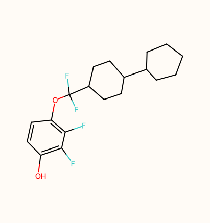 Oc1ccc(OC(F)(F)C2CCC(C3CCCCC3)CC2)c(F)c1F